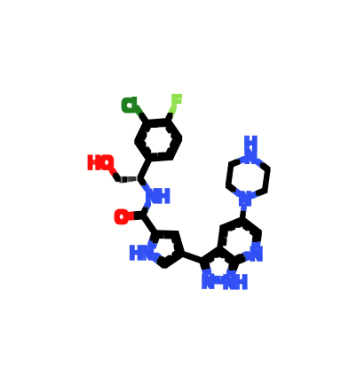 O=C(N[C@H](CO)c1ccc(F)c(Cl)c1)c1cc(-c2n[nH]c3ncc(N4CCNCC4)cc23)c[nH]1